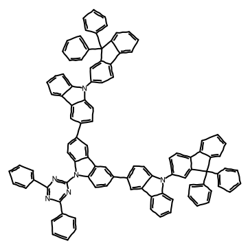 c1ccc(-c2nc(-c3ccccc3)nc(-n3c4ccc(-c5ccc6c(c5)c5ccccc5n6-c5ccc6c(c5)C(c5ccccc5)(c5ccccc5)c5ccccc5-6)cc4c4cc(-c5ccc6c(c5)c5ccccc5n6-c5ccc6c(c5)C(c5ccccc5)(c5ccccc5)c5ccccc5-6)ccc43)n2)cc1